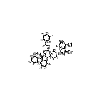 CC(C)(C)[Si](OC[C@@H]1CC[C@@H](c2nc(Br)c3c(Cl)nccn23)CN1C(=O)OCc1ccccc1)(c1ccccc1)c1ccccc1